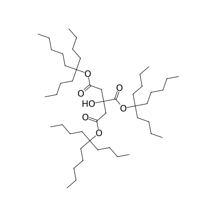 CCCCCC(CCCC)(CCCC)OC(=O)CC(O)(CC(=O)OC(CCCC)(CCCC)CCCCC)C(=O)OC(CCCC)(CCCC)CCCCC